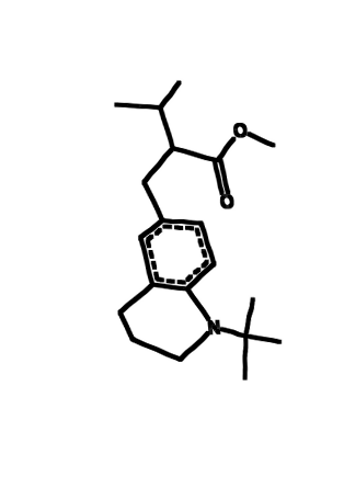 COC(=O)C(Cc1ccc2c(c1)CCCN2C(C)(C)C)C(C)C